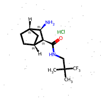 CC(C)(CNC(=O)[C@H]1[C@@H]2CC[C@@H](C2)[C@H]1N)C(F)(F)F.Cl